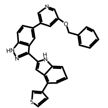 c1ccc(COc2cncc(-c3ccc4[nH]nc(-c5cc6c(-c7ccsc7)cccc6[nH]5)c4c3)c2)cc1